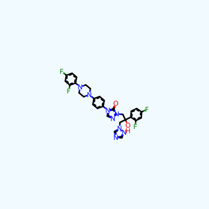 O=c1n(-c2ccc(N3CCN(c4ccc(F)cc4F)CC3)cc2)cnn1CC(O)(Cn1cncn1)c1ccc(F)cc1F